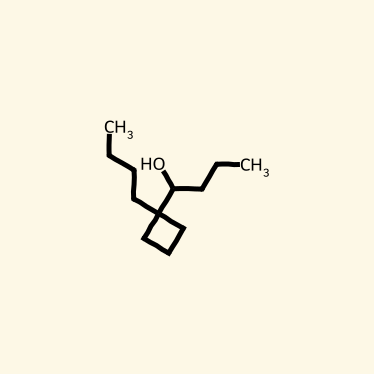 CCCCC1(C(O)CCC)CCC1